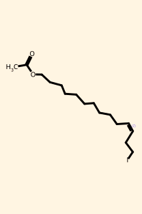 CC(=O)OCCCCCCCCCC/C=C\CCI